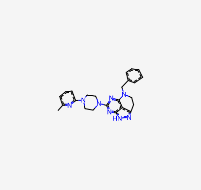 Cc1cccc(N2CCN(c3nc4c5c(n[nH]c5n3)CCN4Cc3ccccc3)CC2)n1